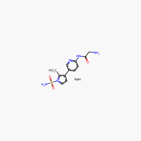 NCC(=O)Nc1ccc(-c2ccn(S(N)(=O)=O)c2C(=O)O)cn1.[NaH]